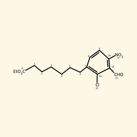 CCOC(=O)CCCCCCc1ccc([N+](=O)[O-])c(C=O)c1Cl